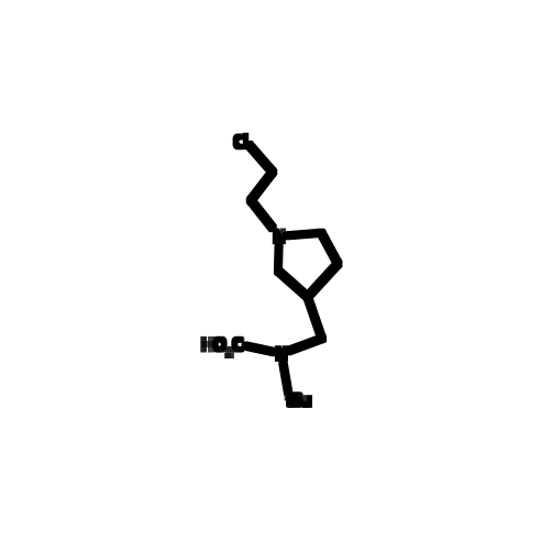 CC(C)(C)N(CC1CCN(CCCl)C1)C(=O)O